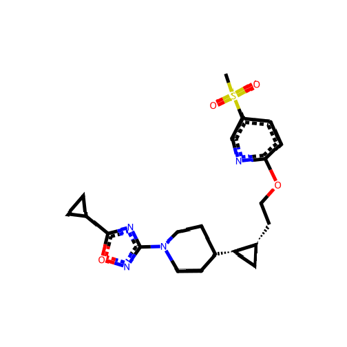 CS(=O)(=O)c1ccc(OCC[C@@H]2C[C@@H]2C2CCN(c3noc(C4CC4)n3)CC2)nc1